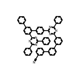 N#Cc1cccc(-c2cccc(-c3cccc(-c4nc(-c5ccccc5)nc(-c5ccc(-c6cc(-c7ccccc7)ccc6-c6nc(-c7ccccc7)nc(-c7ccccc7)n6)cc5)n4)c3)c2)c1